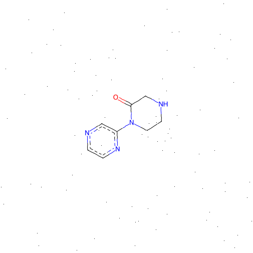 O=C1CNCCN1c1cnccn1